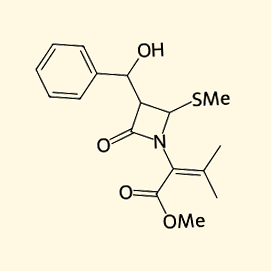 COC(=O)C(=C(C)C)N1C(=O)C(C(O)c2ccccc2)C1SC